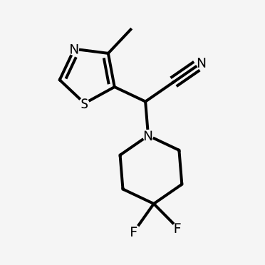 Cc1ncsc1C(C#N)N1CCC(F)(F)CC1